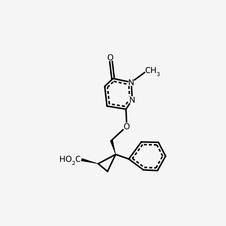 Cn1nc(OC[C@@]2(c3ccccc3)C[C@H]2C(=O)O)ccc1=O